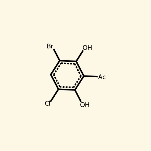 CC(=O)c1c(O)c(Cl)cc(Br)c1O